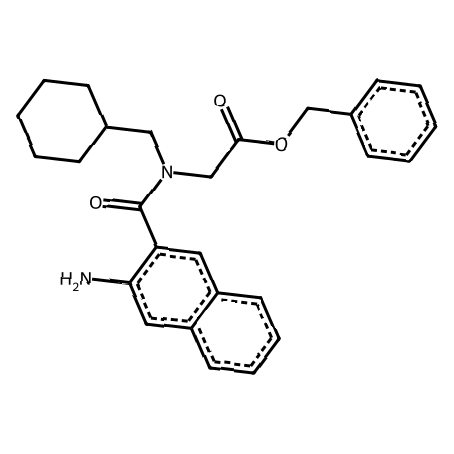 Nc1cc2ccccc2cc1C(=O)N(CC(=O)OCc1ccccc1)CC1CCCCC1